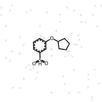 O=[SH](=O)c1cccc(OC2CCCC2)c1